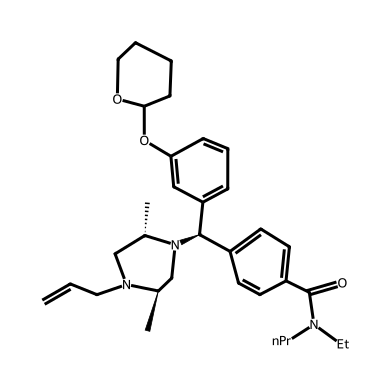 C=CCN1C[C@H](C)N([C@H](c2ccc(C(=O)N(CC)CCC)cc2)c2cccc(OC3CCCCO3)c2)C[C@H]1C